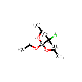 CCO[Si](OCC)(OCC)C(C)(C)Cl